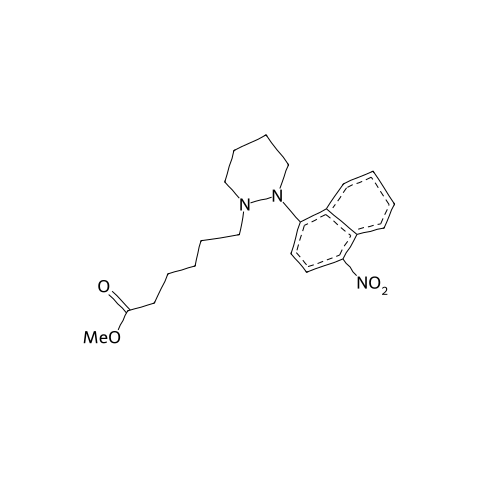 COC(=O)CCCCCN1CCCCN1c1ccc([N+](=O)[O-])c2ccccc12